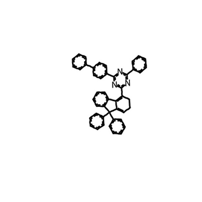 C1=C2C(=C(c3nc(-c4ccccc4)nc(-c4ccc(-c5ccccc5)cc4)n3)CC1)c1ccccc1C2(c1ccccc1)c1ccccc1